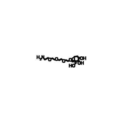 NCCOCCOCCOCCOC[C@@]1(CO)OCC[C@@H](O)[C@H]1O